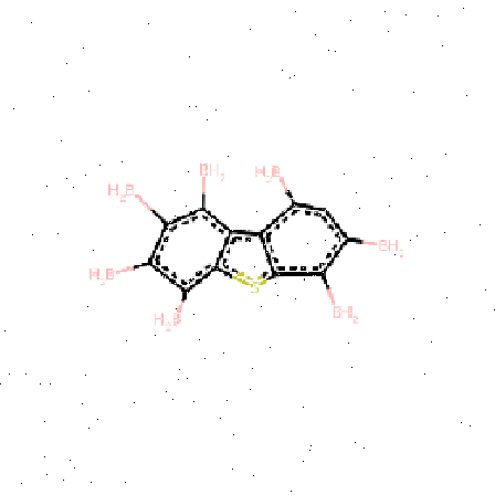 Bc1cc(B)c2c(sc3c(B)c(B)c(B)c(B)c32)c1B